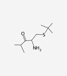 CC(C)C(=O)C(N)CSC(C)(C)C